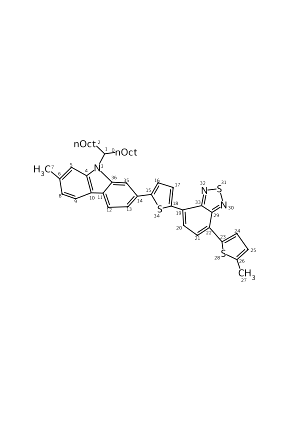 CCCCCCCCC(CCCCCCCC)n1c2cc(C)ccc2c2ccc(-c3ccc(-c4ccc(-c5ccc(C)s5)c5nsnc45)s3)cc21